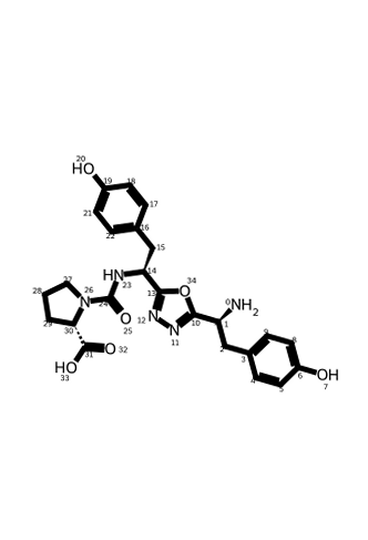 N[C@@H](Cc1ccc(O)cc1)c1nnc([C@H](Cc2ccc(O)cc2)NC(=O)N2CCC[C@H]2C(=O)O)o1